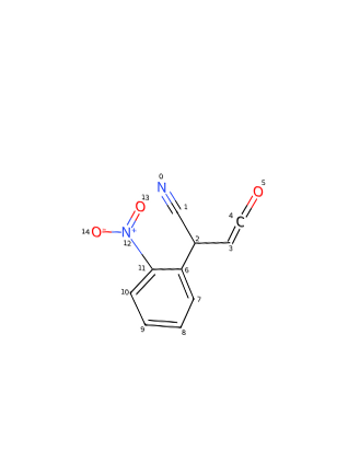 N#CC(C=C=O)c1ccccc1[N+](=O)[O-]